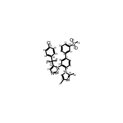 Cc1cn(-c2ccc(-c3cccc(S(C)(=O)=O)c3)cc2-n2nncc2C(F)(F)c2ccc(Cl)cc2)c(C)n1